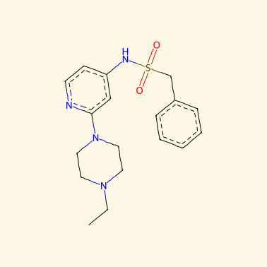 CCN1CCN(c2cc(NS(=O)(=O)Cc3ccccc3)ccn2)CC1